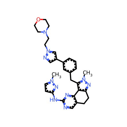 Cn1ccc(Nc2ncc3c(n2)-c2c(nn(C)c2Cc2cccc(-c4cnn(CCN5CCOCC5)c4)c2)CC3)n1